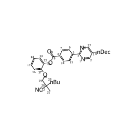 CCCCCCCCCCc1cnc(-c2ccc(C(=O)Oc3ccccc3OCC(C)(C#N)CCCC)cc2)nc1